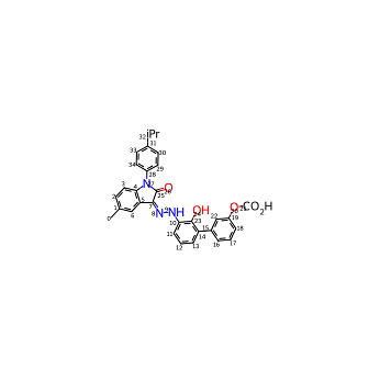 Cc1ccc2c(c1)C(=NNc1cccc(-c3cccc(OC(=O)O)c3)c1O)C(=O)N2c1ccc(C(C)C)cc1